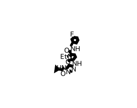 CCn1c(C(=O)NCc2cccc(F)c2)ccc(Nc2cc(NC(=O)C3CC3)ncn2)c1=O